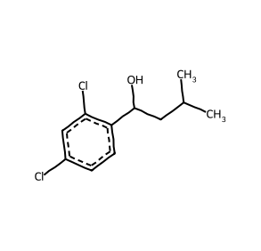 CC(C)CC(O)c1ccc(Cl)cc1Cl